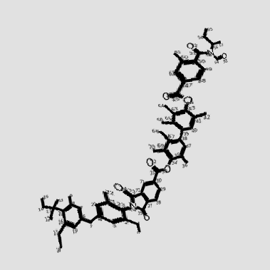 CCc1cc(Cc2cc(C)c(C(C)(C)CC)c(CC)c2)cc(C)c1N1C(=O)c2ccc(C(=O)Oc3c(C)cc(-c4cc(C)c(OC(=O)c5ccc(C(=O)N(C=O)C(C)CC)c(C)c5)c(C)c4C)c(C)c3C)cc2C1=O